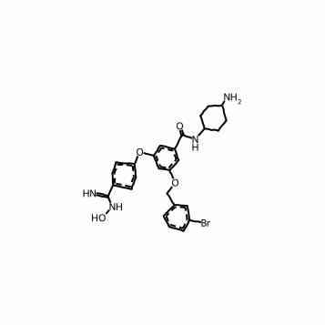 N=C(NO)c1ccc(Oc2cc(OCc3cccc(Br)c3)cc(C(=O)NC3CCC(N)CC3)c2)cc1